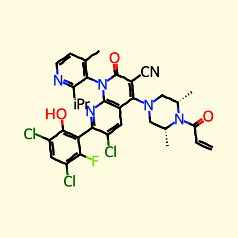 C=CC(=O)N1[C@H](C)CN(c2c(C#N)c(=O)n(-c3c(C)ccnc3C(C)C)c3nc(-c4c(O)c(Cl)cc(Cl)c4F)c(Cl)cc23)C[C@@H]1C